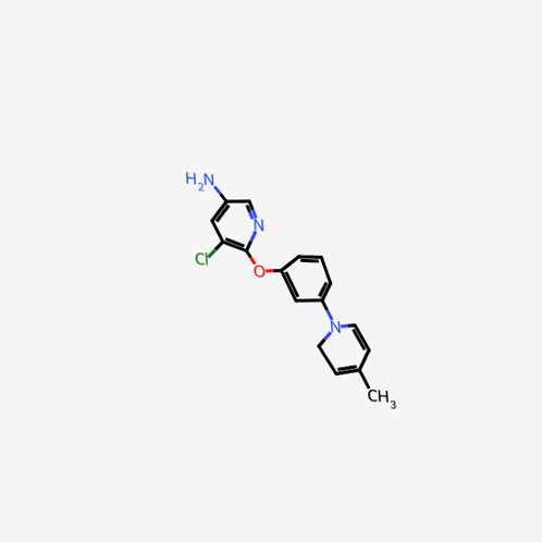 CC1=CCN(c2cccc(Oc3ncc(N)cc3Cl)c2)C=C1